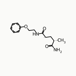 C[C@@H](C[CH]C(=O)NCCOc1ccccc1)C(N)=O